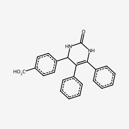 O=C1NC(c2ccccc2)=C(c2ccccc2)C(c2ccc(C(=O)O)cc2)N1